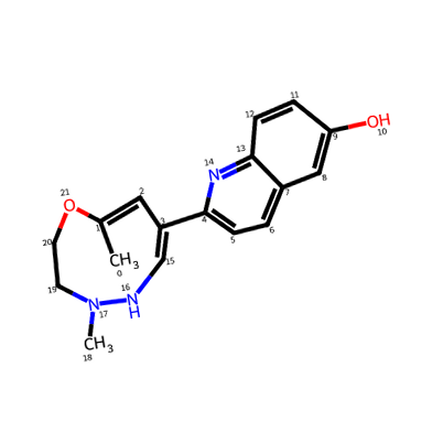 C/C1=C\C(c2ccc3cc(O)ccc3n2)=C/NN(C)CCO1